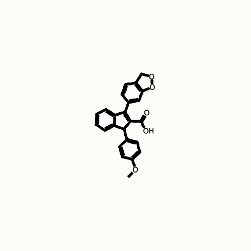 COc1ccc(C2C(C(=O)O)=C(c3ccc4c(c3)OOC4)c3ccccc32)cc1